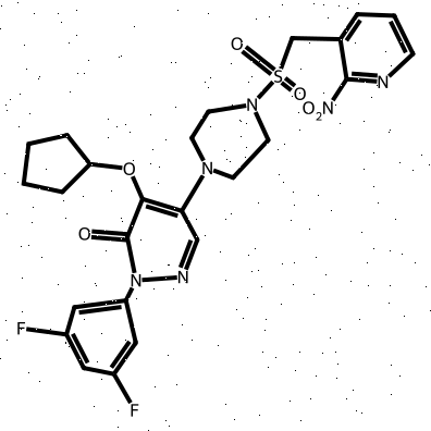 O=c1c(OC2CCCC2)c(N2CCN(S(=O)(=O)Cc3cccnc3[N+](=O)[O-])CC2)cnn1-c1cc(F)cc(F)c1